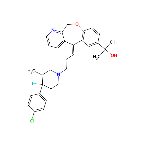 CC1CN(CC/C=C2/c3cc(C(C)(C)O)ccc3OCc3ncccc32)CCC1(F)c1ccc(Cl)cc1